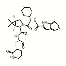 CC1(C)[C@@H]2C(C(=O)N[C@H](C=O)C[C@@H]3CCCNC3=O)N(C(=O)[C@@H](NC(=O)c3cc4ccccc4[nH]3)C3CCCCC3)C[C@@H]21